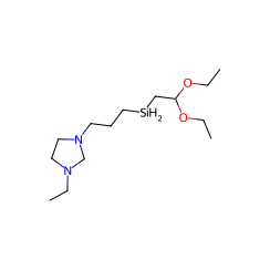 CCOC(C[SiH2]CCCN1CCN(CC)C1)OCC